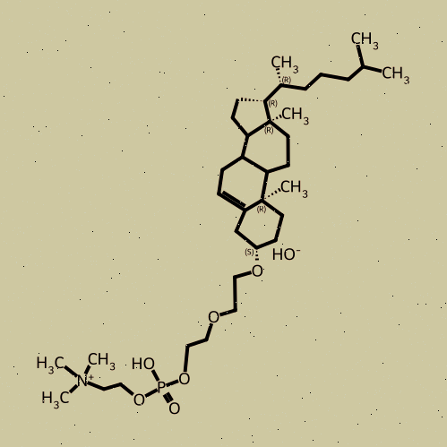 CC(C)CCC[C@@H](C)[C@H]1CCC2C3CC=C4C[C@@H](OCCOCCOP(=O)(O)OCC[N+](C)(C)C)CC[C@]4(C)C3CC[C@@]21C.[OH-]